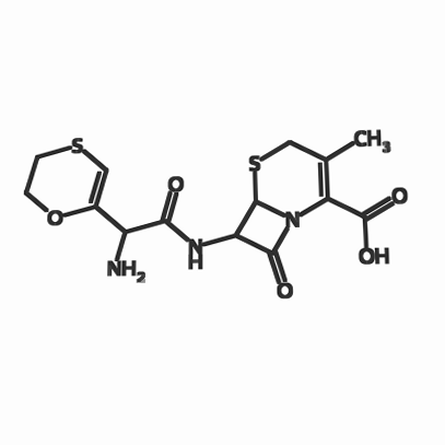 CC1=C(C(=O)O)N2C(=O)C(NC(=O)C(N)C3=CSCCO3)C2SC1